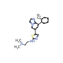 Cc1ccccc1-c1cc(-c2cnc(NCCN(C)C)s2)cn2ccnc12